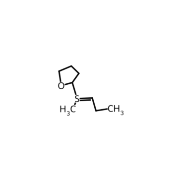 CCC=S(C)C1CCCO1